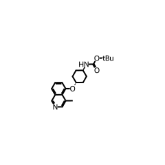 Cc1cncc2cccc(O[C@H]3CC[C@H](NC(=O)OC(C)(C)C)CC3)c12